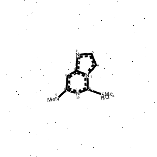 CNc1cc2nccn2c(SC)n1.Cl